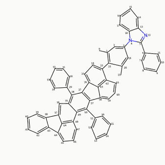 Cc1cc(-n2c(-c3ccccc3)nc3ccccc32)cc(C)c1-c1ccc2c3c(-c4ccccc4)c4cc5c6ccccc6c6cccc(c4c(-c4ccccc4)c3c3cccc1c23)c65